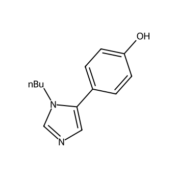 CCCCn1cncc1-c1ccc(O)cc1